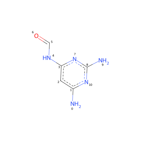 Nc1cc(NC=O)nc(N)n1